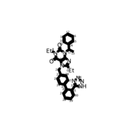 CCc1nc2c(c(=O)n(CC)c(=O)n2C(C)c2ccccc2)n1Cc1ccc(-c2ccccc2-c2nnn[nH]2)cc1